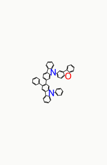 c1ccc(-c2cc3c4ccccc4n(-c4ccccc4)c3cc2-c2ccc3c4ccccc4n(-c4ccc5oc6ccccc6c5c4)c3c2)cc1